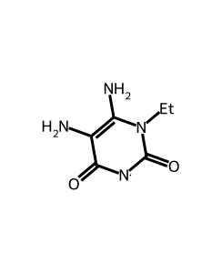 CCN1C(=O)[N]C(=O)C(N)=C1N